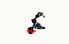 CCCCCCN(Cc1ccc(C#Cc2ccc(C(F)(F)F)cc2)cc1)c1ccc2c(c1)C(=O)OC(C)(C)O2